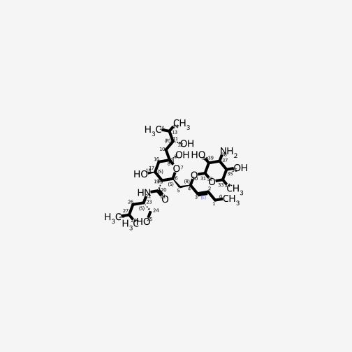 CC/C=C/[C@@H](C[C@@H]1O[C@](O)(C[C@@H](O)C(C)C)C[C@H](O)[C@H]1C(=O)N[C@H](CO)CC(C)C)OC1OC(C)C(O)C(N)C1O